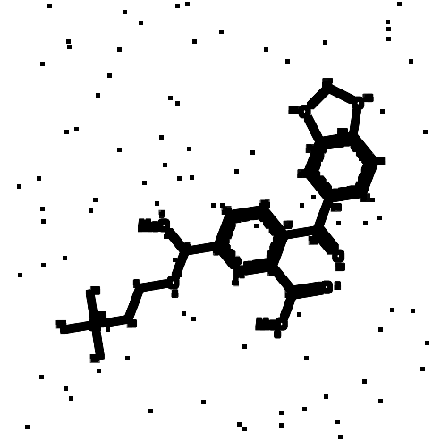 COC(=O)c1nc(C(OC)OCC[Si](C)(C)C)ccc1C(=O)c1ccc2c(c1)OCO2